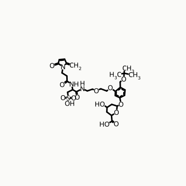 C=C1C=CC(=O)N1CCC(=O)NC(CS(=O)(=O)O)C(=O)NCCOCCOc1cc(OC2CC(O)CC(C(=O)O)O2)ccc1COC(C)(C)C